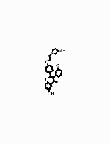 CC[C@@H]1CCN(CCOc2ccc(C3Oc4ccc(O)cc4C(C)=C3c3cccc(Cl)c3)cc2)C1